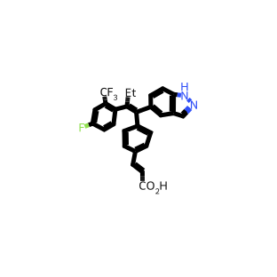 CC/C(=C(/c1ccc(/C=C/C(=O)O)cc1)c1ccc2[nH]ncc2c1)c1ccc(F)cc1C(F)(F)F